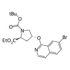 CCOC(=O)[C@@H]1C[C@@H](Oc2nccc3ccc(Br)cc23)CN1C(=O)OC(C)(C)C